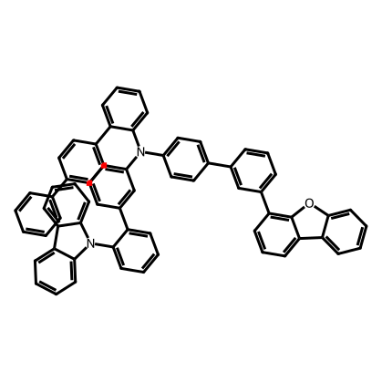 c1ccc(-c2ccc(-c3ccccc3N(c3ccc(-c4cccc(-c5cccc6c5oc5ccccc56)c4)cc3)c3cccc(-c4ccccc4-n4c5ccccc5c5ccccc54)c3)cc2)cc1